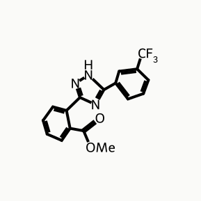 COC(=O)c1ccccc1-c1n[nH]c(-c2cccc(C(F)(F)F)c2)n1